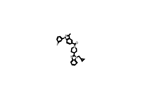 Cc1nn(-c2cccc(F)c2)c2ccc(C(=O)N3CCC(c4nc5ccccc5n4CC4CC4)CC3)cc12